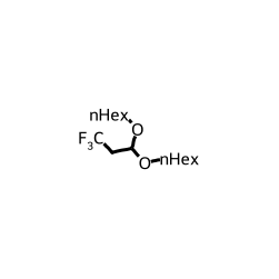 CCCCCCOC(CC(F)(F)F)OCCCCCC